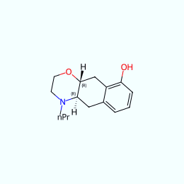 CCCN1CCO[C@@H]2Cc3c(O)cccc3C[C@H]21